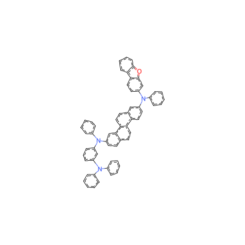 c1ccc(N(c2ccccc2)c2cccc(N(c3ccccc3)c3ccc4ccc5c6ccc(N(c7ccccc7)c7ccc8c(c7)oc7ccccc78)cc6ccc5c4c3)c2)cc1